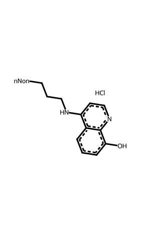 CCCCCCCCCCCCNc1ccnc2c(O)cccc12.Cl